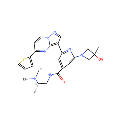 CCN(CC)[C@@H](C)CNC(=O)c1cc(-c2cnn3ccc(-c4cccs4)nc23)nc(N2CC(C)(O)C2)c1